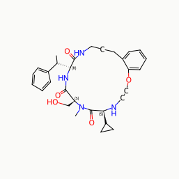 CC(c1ccccc1)[C@H]1NC(=O)[C@H](CO)N(C)C(=O)[C@H](C2CC2)NCCOc2ccccc2CCCNC1=O